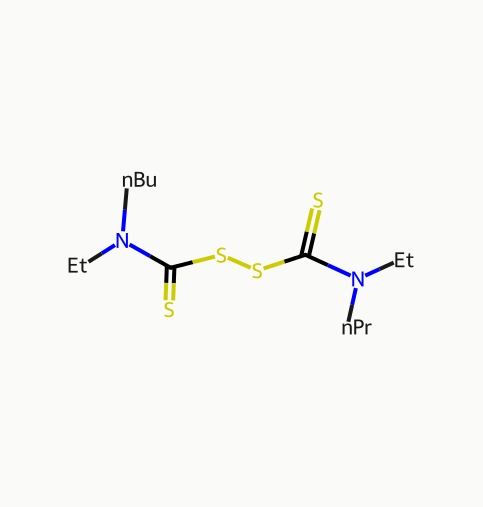 CCCCN(CC)C(=S)SSC(=S)N(CC)CCC